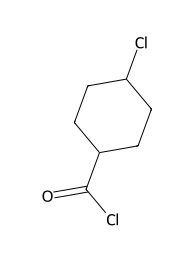 O=C(Cl)C1CCC(Cl)CC1